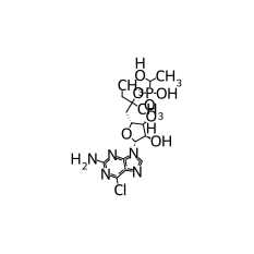 CCC(C)(C[C@H]1O[C@@H](n2cnc3c(Cl)nc(N)nc32)[C@H](O)[C@@H]1O)OP(=O)(O)C(C)O